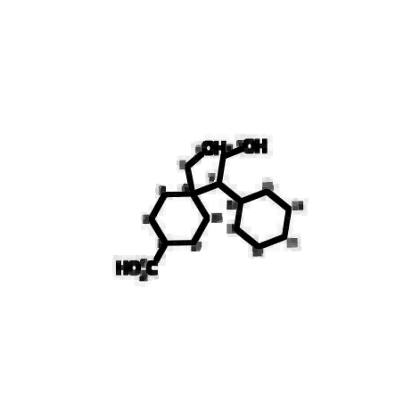 O=C(O)C1CCC(CO)(C(CO)C2CCCCC2)CC1